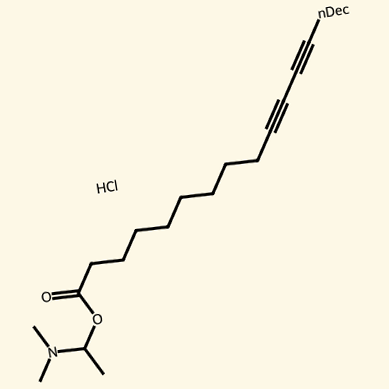 CCCCCCCCCCC#CC#CCCCCCCCCC(=O)OC(C)N(C)C.Cl